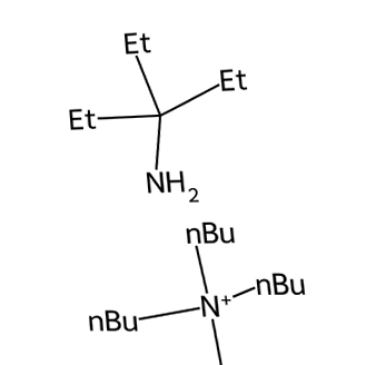 CCC(N)(CC)CC.CCCC[N+](C)(CCCC)CCCC